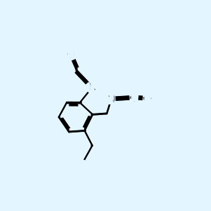 CCc1cccc(N=C=O)c1CN=C=O